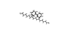 CCCCCCCCCCCCCCCCCC.c1ccc(-c2ccccc2)cc1